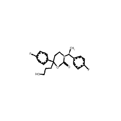 C[C@@H](c1ccc(F)cc1)N1CCC(CCCO)(c2ccc(F)cc2)OC1=O